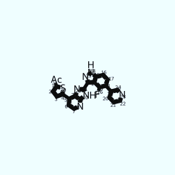 CC(=O)c1ccc(-c2ccnc3[nH]c(-c4n[nH]c5ccc(-c6cccnc6)c(F)c45)nc23)s1